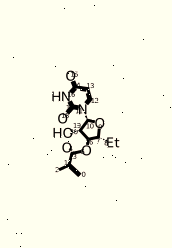 C=C(C)C(=O)OC1[C@@H](CC)O[C@@H](n2ccc(=O)[nH]c2=O)[C@H]1O